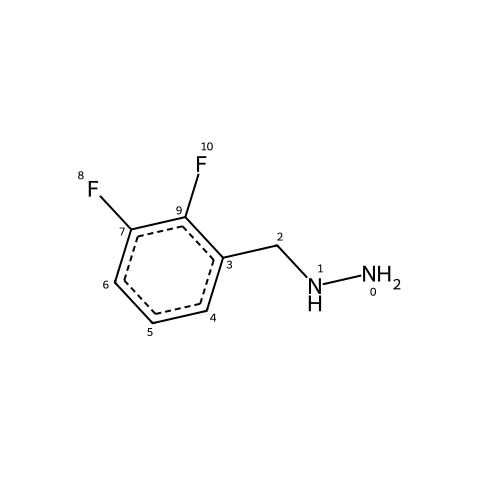 NNCc1cccc(F)c1F